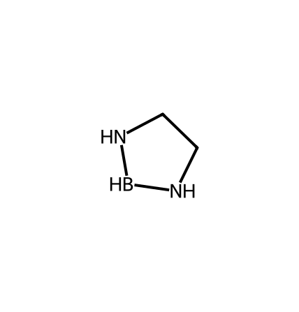 B1NCCN1